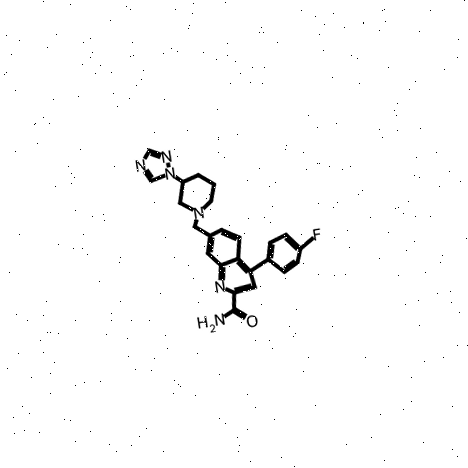 NC(=O)c1cc(-c2ccc(F)cc2)c2ccc(CN3CCCC(n4cncn4)C3)cc2n1